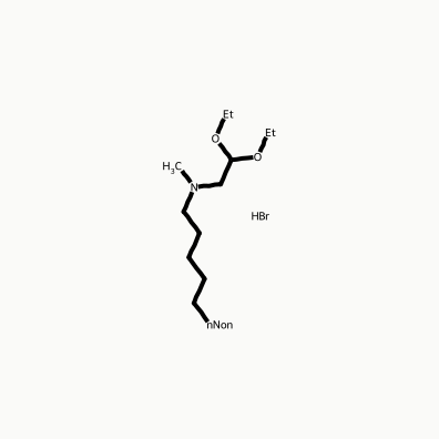 Br.CCCCCCCCCCCCCCN(C)CC(OCC)OCC